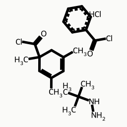 CC(C)(C)NN.CC1=CC(C)(C(=O)Cl)CC(C)=C1.Cl.O=C(Cl)c1ccccc1